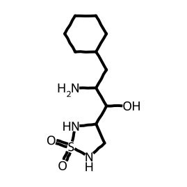 NC(CC1CCCCC1)C(O)C1CNS(=O)(=O)N1